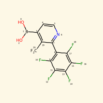 OB(O)c1ccnc(-c2c(F)c(F)c(F)c(F)c2F)c1C(F)(F)F